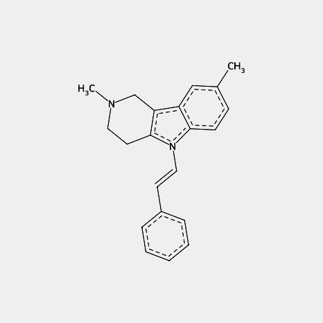 Cc1ccc2c(c1)c1c(n2C=Cc2ccccc2)CCN(C)C1